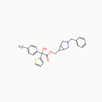 Cc1ccc(C(O)(C(=O)OCC2C3CN(Cc4ccccc4)CC23)c2cccs2)cc1